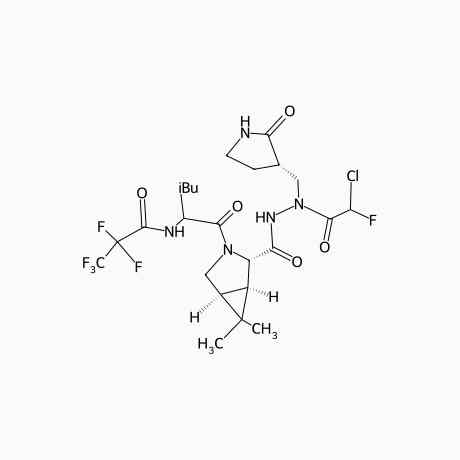 CCC(C)C(NC(=O)C(F)(F)C(F)(F)F)C(=O)N1C[C@H]2[C@@H]([C@H]1C(=O)NN(C[C@@H]1CCNC1=O)C(=O)C(F)Cl)C2(C)C